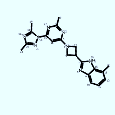 Cc1nc(N2CC(c3nc4cccc(C)c4[nH]3)C2)cc(-n2nc(C)nc2C)n1